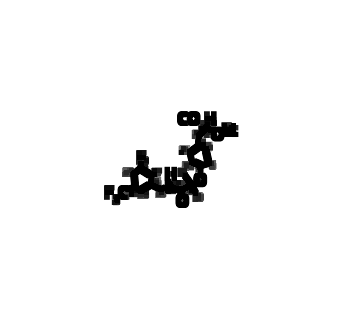 CCO[C@@H](Cc1ccc(OC(C)(C)C(=O)NCc2cc(F)cc(C(F)(F)F)c2)cc1)C(=O)O